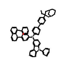 CCC1(c2ccc(-c3ccc(N(c4ccc(-c5cccc6cccc(-c7ccccc7)c56)cc4)c4ccc5c(c4)c4ccccc4n5-c4ccccc4)cc3)cc2)CC2CCCC(C2)C1